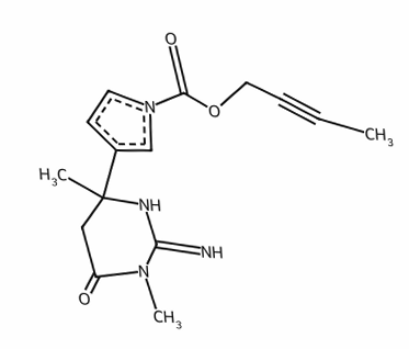 CC#CCOC(=O)n1ccc(C2(C)CC(=O)N(C)C(=N)N2)c1